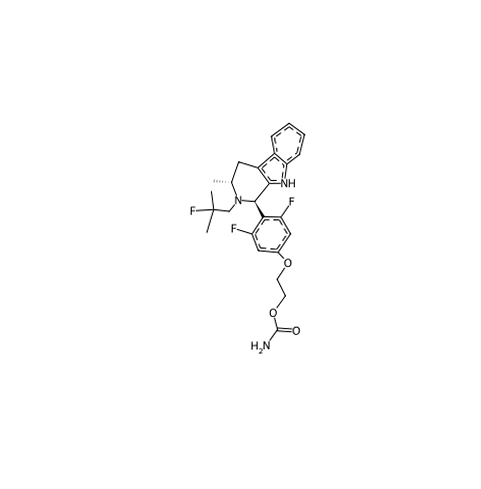 C[C@@H]1Cc2c([nH]c3ccccc23)[C@@H](c2c(F)cc(OCCOC(N)=O)cc2F)N1CC(C)(C)F